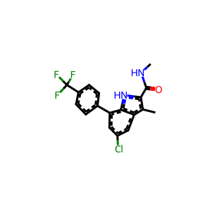 CNC(=O)c1[nH]c2c(-c3ccc(C(F)(F)F)cc3)cc(Cl)cc2c1C